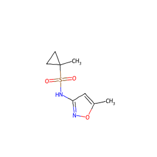 Cc1cc(NS(=O)(=O)C2(C)CC2)no1